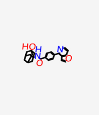 O=C(NC12CC3CC(CC(O)(C3)C1)C2)c1ccc(-c2nccc3occc23)cc1